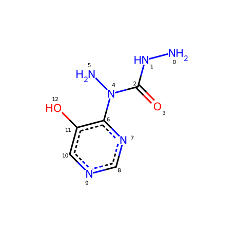 NNC(=O)N(N)c1ncncc1O